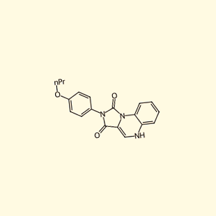 CCCOc1ccc(-n2c(=O)c3c[nH]c4ccccc4n-3c2=O)cc1